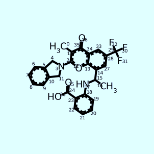 Cc1c(N2Cc3ccccc3C2)oc2c(C(C)Nc3ccccc3C(=O)O)cc(C(F)(F)F)cc2c1=O